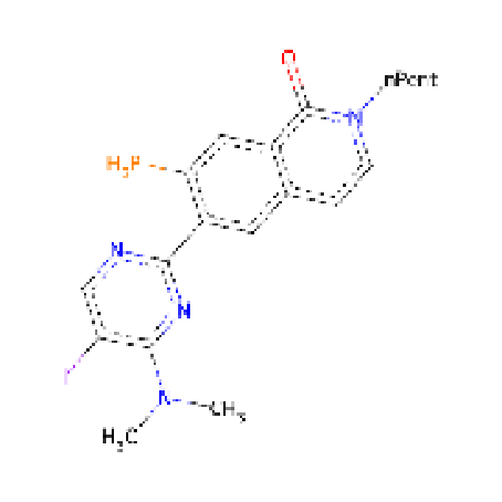 CCCCCn1ccc2cc(-c3ncc(I)c(N(C)C)n3)c(P)cc2c1=O